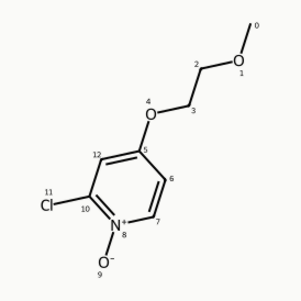 COCCOc1cc[n+]([O-])c(Cl)c1